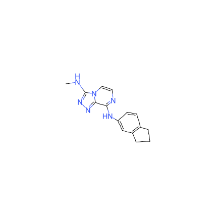 CNc1nnc2c(Nc3ccc4c(c3)CCC4)nccn12